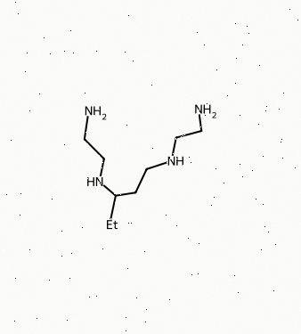 CCC(CCNCCN)NCCN